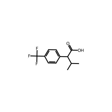 CC(C)C(C(=O)O)c1ccc(C(F)(F)F)cc1